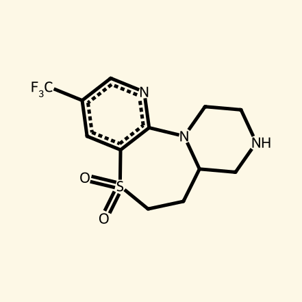 O=S1(=O)CCC2CNCCN2c2ncc(C(F)(F)F)cc21